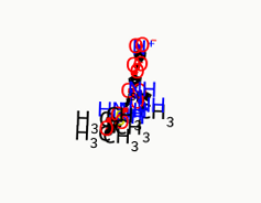 CCNC(=O)C1(C(=O)N[C@@H](CCCNC(=N)NS(=O)(=O)c2c(C)c(C)c3c(c2C)CC(C)(C)O3)C(=O)Nc2ccc(COC(=O)Oc3ccc([N+](=O)[O-])cc3)cc2)CCC1